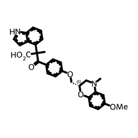 COc1ccc2c(c1)N(C)C[C@@H](COc1ccc(C(=O)C(C)(C(=O)O)c3cccc4[nH]ccc34)cc1)O2